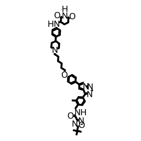 Cc1cc(-c2ncnn3cc(-c4ccc(OCCCCCCN5CCC(c6ccc(NC7CCC(=O)NC7=O)cc6)CC5)cc4)cc23)ccc1CNC(=O)c1noc(C(C)(C)C)n1